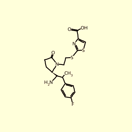 CC(c1ccc(F)cc1)C(N)[C@H]1CCC(=O)N1CCSc1nc(C(=O)O)cs1